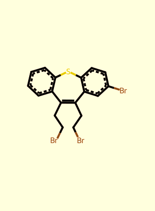 BrCCC1=C(CCBr)c2cc(Br)ccc2Sc2ccccc21